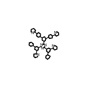 c1ccc(-c2cc(-c3ccccn3)cc(-c3nc(-c4cc(-c5ccc(-c6ccccn6)cc5)cc(-c5ccc(-c6ccccn6)cc5)c4)nc(-c4cc(-c5ccccc5)cc(-c5ccccn5)c4)n3)c2)cc1